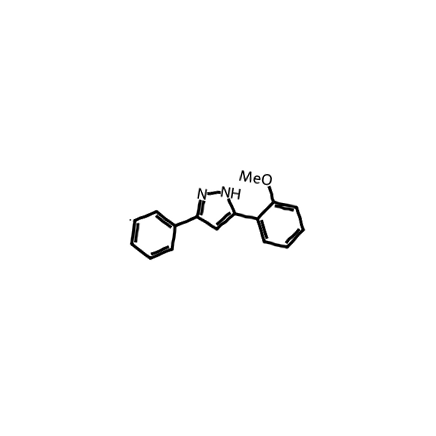 COc1ccccc1-c1cc(-c2c[c]ccc2)n[nH]1